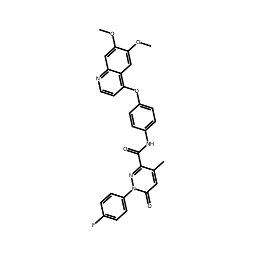 COc1cc2nccc(Oc3ccc(NC(=O)c4nn(-c5ccc(F)cc5)c(=O)cc4C)cc3)c2cc1OC